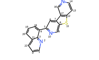 c1cnc2c(-c3cc4c(cn3)sc3ccncc34)cccc2c1